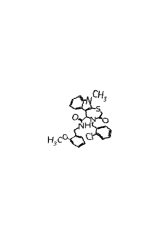 COc1ccccc1CNC(=O)C1c2c(n(C)c3ccccc23)SCC(=O)N1Cc1ccccc1Cl